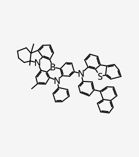 Cc1cc2c3c(c1)N1c4c(cccc4C4(C)CCCCC14C)B3c1ccc(N(c3cccc(-c4cccc5ccccc45)c3)c3cccc4c3sc3ccccc34)cc1N2c1ccccc1